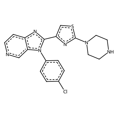 Clc1ccc(-n2c(-c3csc(N4CCNCC4)n3)nc3ccncc32)cc1